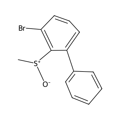 C[S+]([O-])c1c(Br)cccc1-c1ccccc1